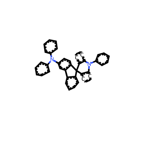 c1ccc(N(c2ccccc2)c2ccc3c(c2)-c2ccccc2C32c3ccccc3N(c3ccccc3)c3ccccc32)cc1